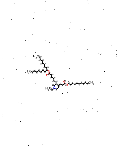 CCCCCCCCCCCOC(=O)CCC1CCN(CC)CC1CCCCCC(=O)OC(CCCCCCCC)CCCCCCCC